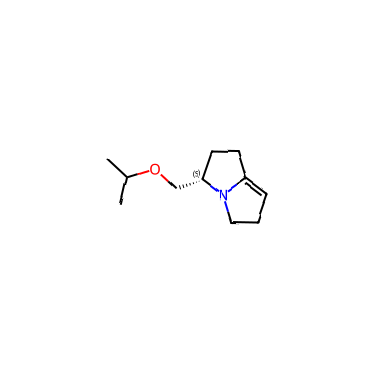 CC(C)OC[C@@H]1CCC2=CCCN21